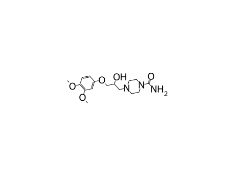 COc1ccc(OCC(O)CN2CCN(C(N)=O)CC2)cc1OC